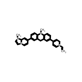 C=CN1C=CC(c2ccc3c(c2)Cc2cc(C4=CC5N(C)C=CN5C=C4)ccc2N3C)=CC1